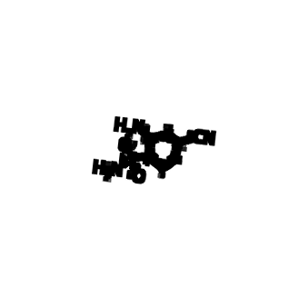 N#Cc1ccc(S(N)(=O)=O)c(N)c1